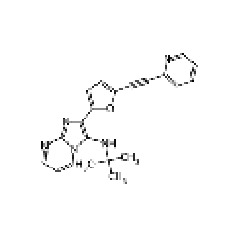 CC(C)(C)Nc1c(-c2ccc(C#Cc3ccccn3)o2)nc2ncccn12